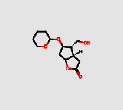 O=C1C[C@H]2C(C[C@@H](OC3CCCCO3)[C@@H]2CO)O1